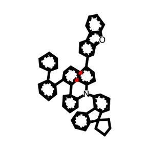 c1ccc(-c2ccccc2-c2ccccc2-c2ccccc2N(c2ccc(-c3ccc4c(c3)oc3ccccc34)cc2)c2cccc3c2-c2ccccc2C32CCCC2)cc1